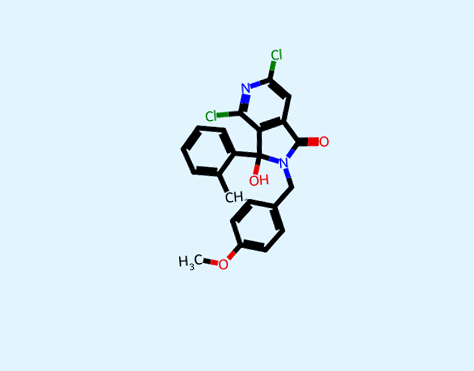 COc1ccc(CN2C(=O)c3cc(Cl)nc(Cl)c3C2(O)c2ccccc2C)cc1